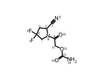 N#CC1CC(F)(F)CN1C(=O)COC(N)=O